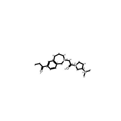 CCC(=O)c1ccc2c(c1)CCCN(CC(=O)N1CCC(N(C)C)C1)C2